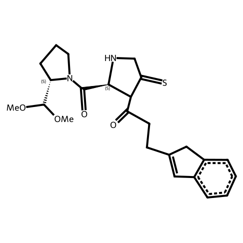 COC(OC)[C@@H]1CCCN1C(=O)[C@H]1NCC(=S)C1C(=O)CCC1=Cc2ccccc2C1